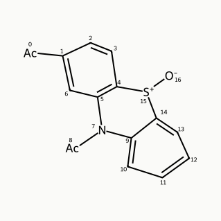 CC(=O)c1ccc2c(c1)N(C(C)=O)c1ccccc1[S+]2[O-]